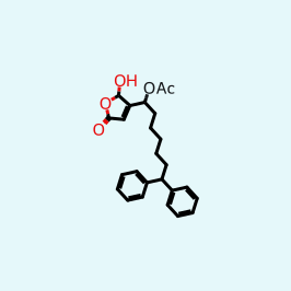 CC(=O)OC(CCCCCC(c1ccccc1)c1ccccc1)C1=CC(=O)OC1O